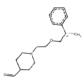 C[C@H](COCCN1CCC(C=O)CC1)c1ccccc1